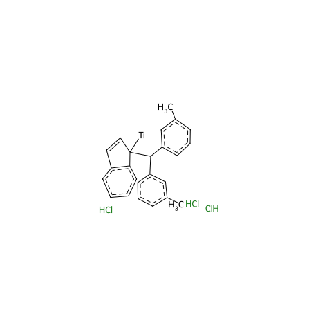 Cc1cccc(C(c2cccc(C)c2)[C]2([Ti])C=Cc3ccccc32)c1.Cl.Cl.Cl